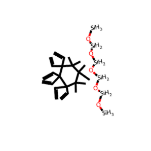 C=CC1(C=C)C(C)(C)C(C)(C)C(C)(C)C(C=C)(C=C)C1(C=C)C=C.[SiH3]O[SiH2]O[SiH2]O[SiH2]O[SiH2]O[SiH3]